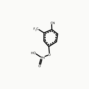 N#Cc1ccc(O[PH](=O)O)cc1C(F)(F)F